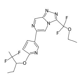 CCOC(F)(F)c1nnc2cnc(-c3ccc(OC(CC)C(C)(F)F)nc3)cn12